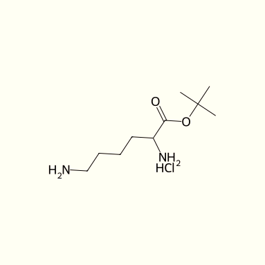 CC(C)(C)OC(=O)C(N)CCCCN.Cl